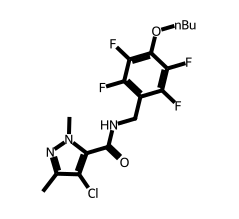 CCCCOc1c(F)c(F)c(CNC(=O)c2c(Cl)c(C)nn2C)c(F)c1F